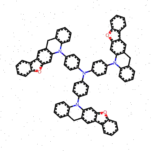 c1ccc2c(c1)Cc1cc3c(cc1N2c1ccc(N(c2ccc(N4c5ccccc5Cc5cc6c(cc54)oc4ccccc46)cc2)c2ccc(N4c5ccccc5Cc5cc6c(cc54)oc4ccccc46)cc2)cc1)oc1ccccc13